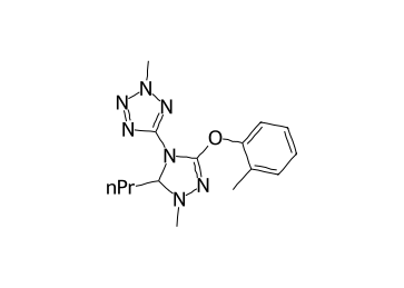 CCCC1N(C)N=C(Oc2ccccc2C)N1c1nnn(C)n1